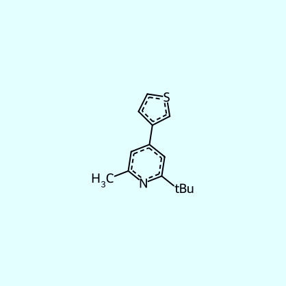 Cc1cc(-c2ccsc2)cc(C(C)(C)C)n1